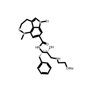 CCn1cc2c3c(cc(C(=O)N[C@@H](Cc4ccccc4)[C@H](O)CNCCOC)cc31)N(C)SCC2